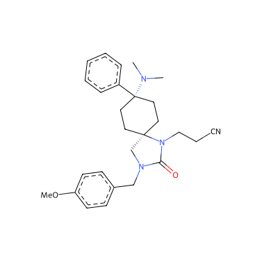 COc1ccc(CN2C[C@]3(CC[C@@](c4ccccc4)(N(C)C)CC3)N(CCC#N)C2=O)cc1